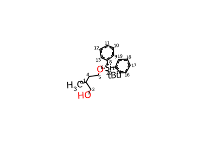 CC(CO)CCO[Si](c1ccccc1)(c1ccccc1)C(C)(C)C